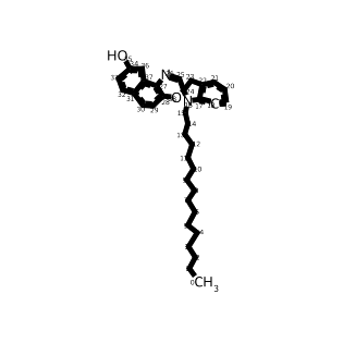 CCCCCCCCCCCCCCCCN1c2ccccc2CC12C=Nc1c(ccc3ccc(O)cc13)O2